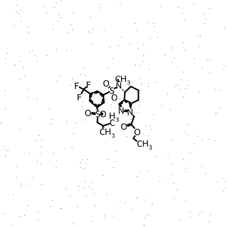 CCOC(=O)Cn1ncc2c1CCC[C@H]2N(C)S(=O)(=O)c1cc(C(F)(F)F)cc(S(=O)(=O)CC(C)C)c1